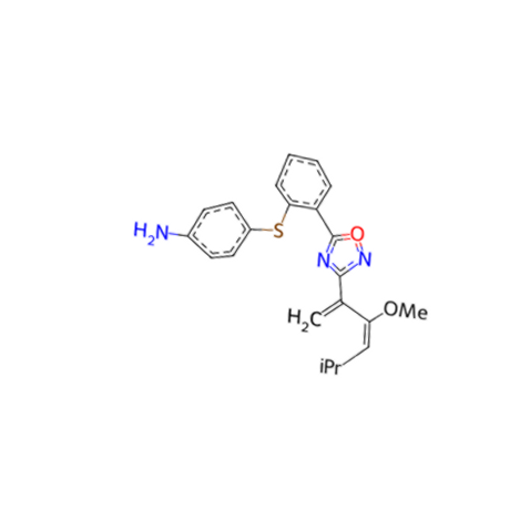 C=C(/C(=C\C(C)C)OC)c1noc(-c2ccccc2Sc2ccc(N)cc2)n1